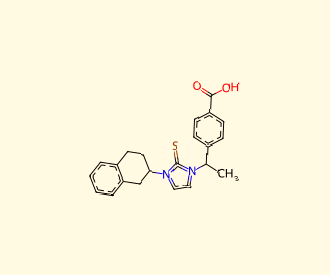 CC(c1ccc(C(=O)O)cc1)n1ccn(C2CCc3ccccc3C2)c1=S